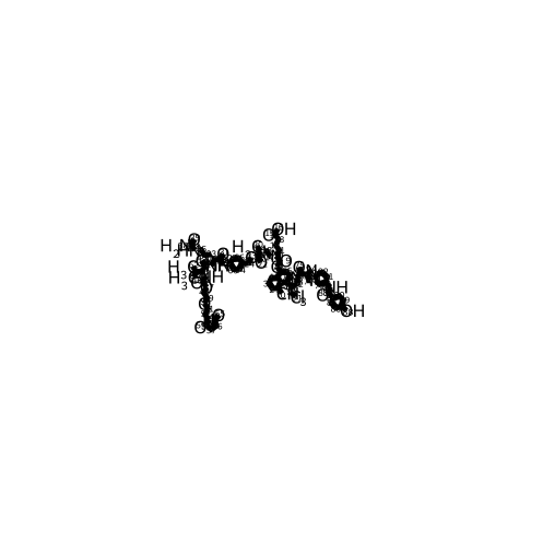 Cc1cccc2c(OC(=O)N(CCCC(=O)O)CCN(C)C(=O)OCc3ccc(NC(=O)[C@H](CCCNC(N)=O)NC(=O)[C@@H](NC(=O)OCCOCCN4C(=O)C=CC4=O)C(C)C)cc3)cc3c(c12)[C@H](CCl)CN3C(=O)c1cn2cc(NC(=O)c3ccc(O)cc3)ccc2n1